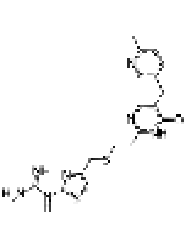 Cc1ccc(Cc2cnc(CCSCc3csc(NC(=N)N)n3)[nH]c2=O)cn1